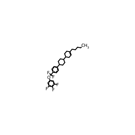 CCCCCC1=CCC(C2CCC(c3ccc(C(F)(F)Oc4cc(F)c(F)c(F)c4)cc3)CC2)CC1